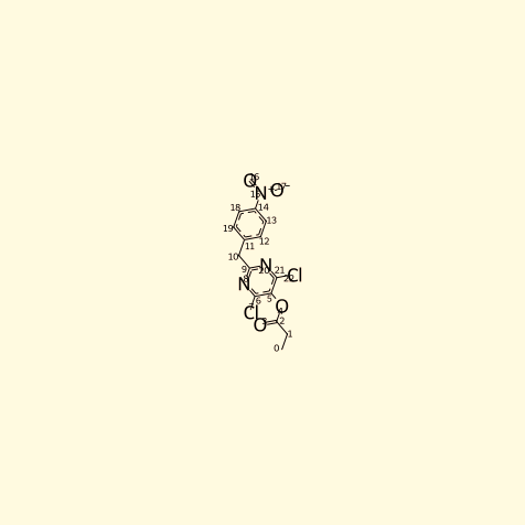 CCC(=O)Oc1c(Cl)nc(Cc2ccc([N+](=O)[O-])cc2)nc1Cl